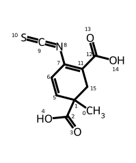 CC1(C(=O)O)C=CC(N=C=S)=C(C(=O)O)C1